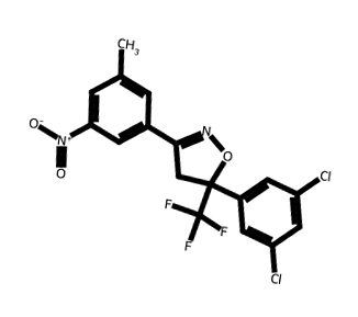 Cc1cc(C2=NOC(c3cc(Cl)cc(Cl)c3)(C(F)(F)F)C2)cc([N+](=O)[O-])c1